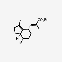 CCOC(=O)/C(C)=C/[C@@H]1CC[C@@H](C)[C@H]2CCC(C)=C12